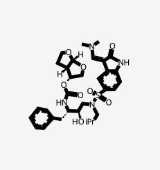 CC(C)CN(C[C@@H](O)[C@H](Cc1ccccc1)NC(=O)O[C@H]1CO[C@H]2OCC[C@H]21)S(=O)(=O)c1ccc2c(c1)/C(=C/N(C)C)C(=O)N2